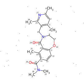 Cc1cc(C)c(CN2CCOc3ccc(C(=O)N(C)C)c(C)c3C2=O)c(C)n1